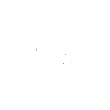 Cn1c(Sc2ccc(C(C)(C)C)cc2)cnc1Br